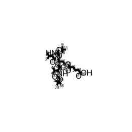 CC(C)[C@H](NC(=O)OC(C)(C)C)C(=O)OCCC(OC(=O)CCCC(=O)O)OC(=O)[C@@H](NC(=O)OC(C)(C)C)C(C)C